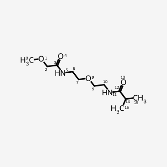 COCC(=O)NCCOCCNC(=O)C(C)C